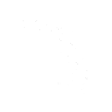 COc1cc(N2CCc3nc(NC(=O)N(C)CCOCC4CC4)sc3C2)cnc1Cl